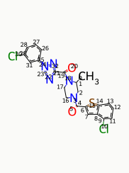 CC1CN(C(=O)c2cc3c(Cl)cccc3s2)CCN1C(=O)c1ncn(-c2cccc(Cl)c2)n1